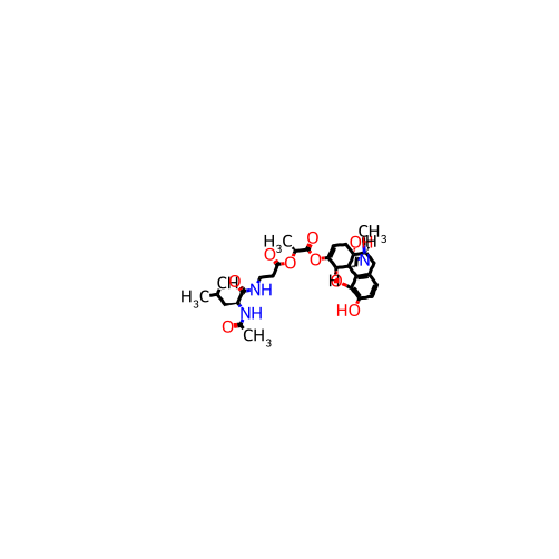 CC(=O)N[C@@H](CC(C)C)C(=O)NCCC(=O)O[C@@H](C)C(=O)OC1=CC[C@@]2(O)[C@H]3Cc4ccc(O)c5c4[C@@]2(CCN3C)[C@H]1O5